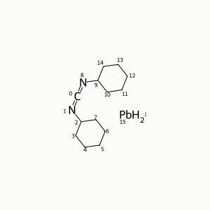 C(=NC1CCCCC1)=NC1CCCCC1.[PbH2]